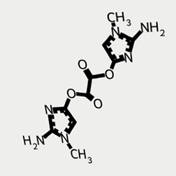 Cn1cc(OC(=O)C(=O)Oc2cn(C)c(N)n2)nc1N